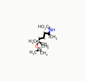 C=C(CCC[Si](C)(C)O[Si](C)(C)C)NC(=O)O